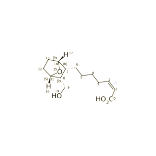 O=C(O)/C=C\CCCC[C@@H]1[C@H](CO)[C@@H]2CC[C@H]1O2